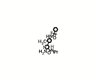 Cc1cc(NC(=O)C(F)(F)c2ccccc2)ccc1-c1cnc(N)c(C(=O)NC(C)C)c1